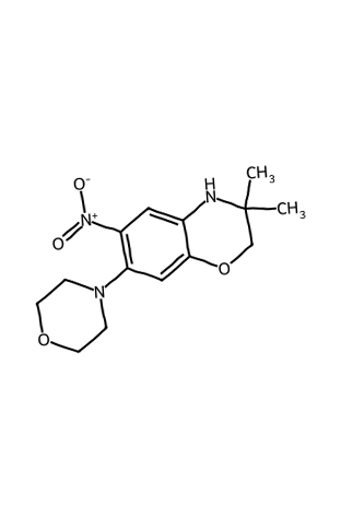 CC1(C)COc2cc(N3CCOCC3)c([N+](=O)[O-])cc2N1